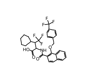 O=C(NC(C(=O)O)C(C1CCCCC1)C(F)(F)F)c1ccc2ccccc2c1OCc1ccc(C(F)(F)F)cc1